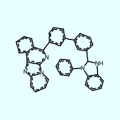 c1ccc(N2c3ccccc3NC2c2cccc(-c3cccc(-c4nc5c(nc6ccccn65)c5ccccc45)c3)c2)cc1